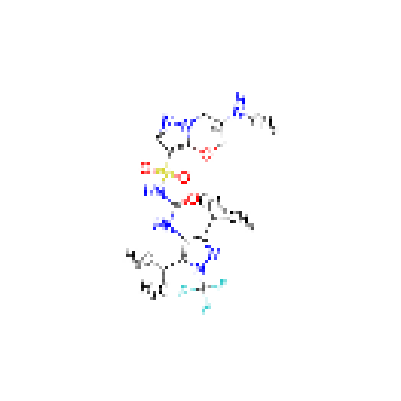 CN[C@@H]1COc2c(S(=O)(=O)NC(=O)Nc3c(C(C)C)nn(C(F)(F)F)c3C(C)C)cnn2C1